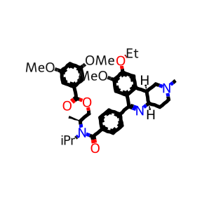 CCOc1cc2c(cc1OC)C(c1ccc(C(=O)N(C(C)C)[C@@H](C)COC(=O)c3cc(OC)cc(OC)c3)cc1)=N[C@@H]1CCN(C)C[C@H]21